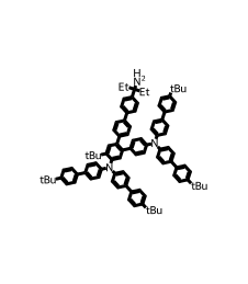 CCC(N)(CC)c1ccc(-c2ccc(-c3cc(C(C)(C)C)c(N(c4ccc(-c5ccc(C(C)(C)C)cc5)cc4)c4ccc(-c5ccc(C(C)(C)C)cc5)cc4)cc3-c3ccc(N(c4ccc(-c5ccc(C(C)(C)C)cc5)cc4)c4ccc(-c5ccc(C(C)(C)C)cc5)cc4)cc3)cc2)cc1